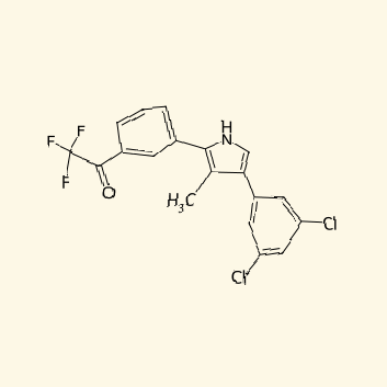 Cc1c(-c2cc(Cl)cc(Cl)c2)c[nH]c1-c1cccc(C(=O)C(F)(F)F)c1